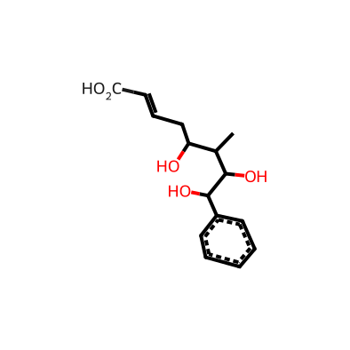 CC(C(O)CC=CC(=O)O)C(O)C(O)c1ccccc1